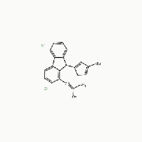 C[C](C)=[Zr+2][c]1cccc2c1C(C1=CC(C(C)(C)C)=CC1)c1ccccc1-2.[Cl-].[Cl-]